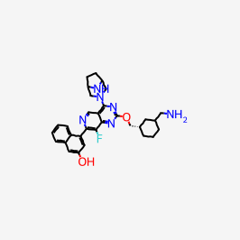 NCC1CCC[C@H](COc2nc(N3CC4CCC(C3)N4)c3cnc(-c4cc(O)cc5ccccc45)c(F)c3n2)C1